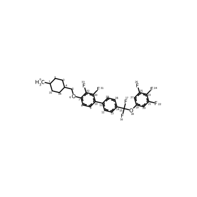 CC1CCC(COc2ccc(-c3ccc(C(F)(F)Oc4cc(F)c(F)c(F)c4)cc3)c(F)c2F)CC1